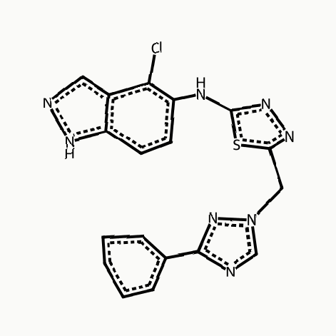 Clc1c(Nc2nnc(Cn3cnc(-c4ccccc4)n3)s2)ccc2[nH]ncc12